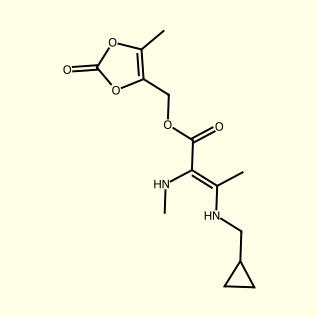 CN/C(C(=O)OCc1oc(=O)oc1C)=C(/C)NCC1CC1